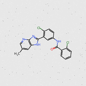 Cc1cnc2nc(-c3cc(NC(=O)c4ccccc4Cl)ccc3Cl)[nH]c2c1